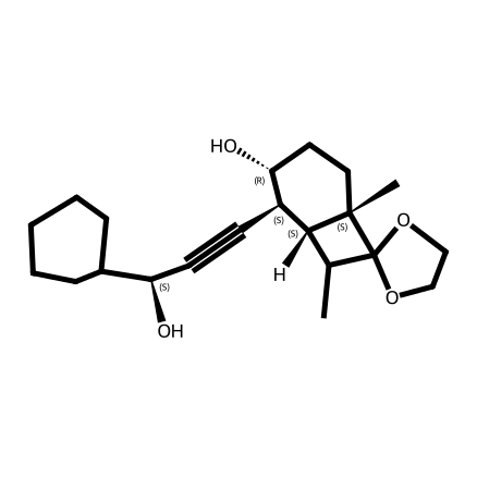 CC1[C@@H]2[C@@H](C#C[C@@H](O)C3CCCCC3)[C@H](O)CC[C@]2(C)C12OCCO2